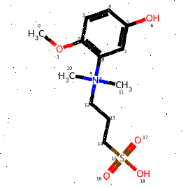 COc1ccc(O)cc1[N+](C)(C)CCCS(=O)(=O)O